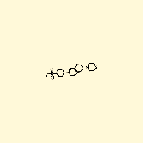 CCS(=O)(=O)c1ccc(-c2ccc3c(c2)CCC(N2CCSCC2)C3)cc1